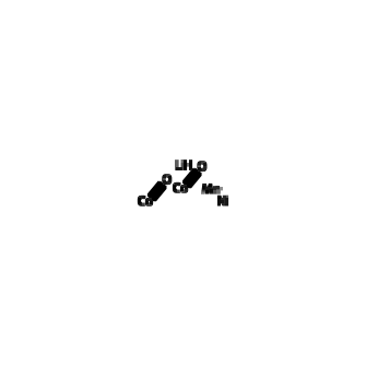 [LiH].[Mn].[Ni].[O]=[Co].[O]=[Co]